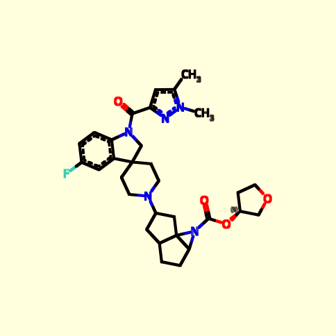 Cc1cc(C(=O)N2CC3(CCN(C4CC5CCC6N(C(=O)O[C@H]7CCOC7)C56C4)CC3)c3cc(F)ccc32)nn1C